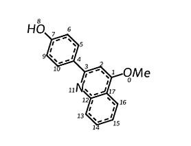 COc1cc(-c2ccc(O)cc2)nc2ccccc12